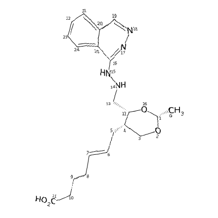 C[C@@H]1OC[C@H](CC=CCCCC(=O)O)[C@H](CNNc2nncc3ccccc23)O1